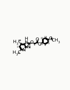 COc1ccc(OC(=O)COc2nc3nc(C)cc(C)c3[nH]2)cc1